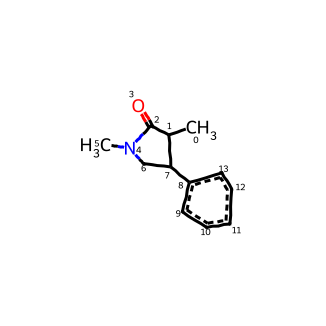 CC1C(=O)N(C)CC1c1ccccc1